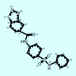 O=C(Nc1ccc(S(=O)(=O)Nc2ccccc2)cc1)c1ccc2snnc2c1